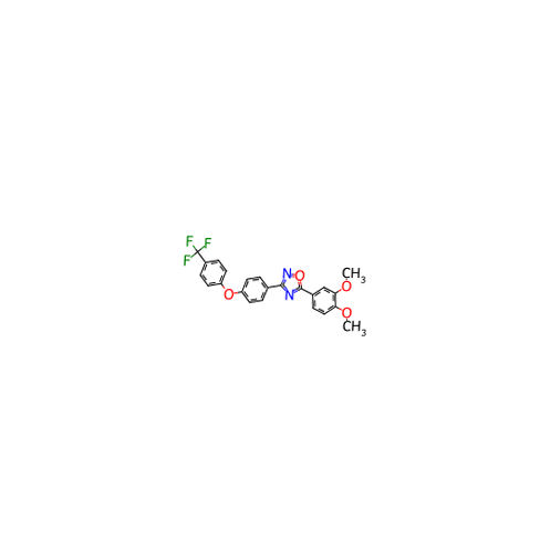 COc1ccc(-c2nc(-c3ccc(Oc4ccc(C(F)(F)F)cc4)cc3)no2)cc1OC